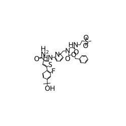 CC(C)(O)c1ccc(-c2cc(C(N)=O)c(Nc3cccc(CN(CC(=O)NCCS(C)(=O)=O)C(=O)OCc4ccccc4)n3)s2)c(F)c1